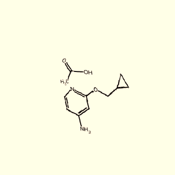 CC(=O)O.Nc1ccnc(OCC2CC2)c1